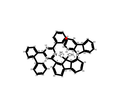 CC1(C)c2c(-c3nc(-c4ccccc4)nc(-c4ccccc4-c4ccccc4)n3)cccc2-c2cccc(-n3c4ccccc4c4cccnc43)c21